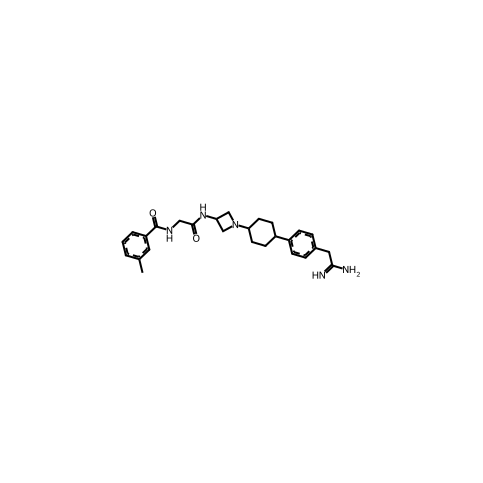 Cc1cccc(C(=O)NCC(=O)NC2CN(C3CCC(c4ccc(CC(=N)N)cc4)CC3)C2)c1